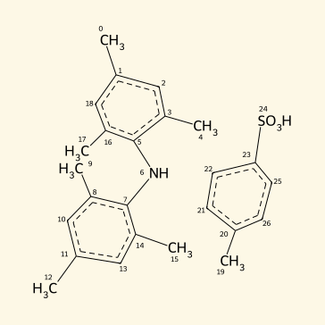 Cc1cc(C)c(Nc2c(C)cc(C)cc2C)c(C)c1.Cc1ccc(S(=O)(=O)O)cc1